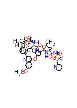 C=CC1CC1(NC(=O)C1CC(Oc2cc(-c3ccccc3)nc3cc(OC)ccc23)CN1C(=O)C(NC(=O)OC(C)(C)C)C(C)(C)C)C(=O)NS(=O)(=O)C1(Cc2ccccn2)CC1